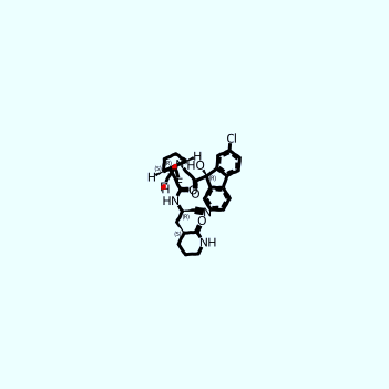 N#C[C@@H](C[C@@H]1CCCNC1=O)NC(=O)[C@H]1[C@@H]2CC[C@@H](CC2(F)F)N1C(=O)[C@@]1(O)c2ccccc2-c2ccc(Cl)cc21